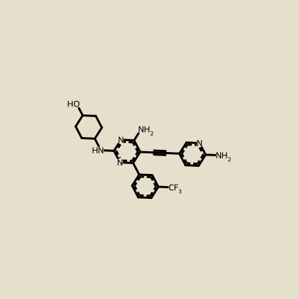 Nc1ccc(C#Cc2c(N)nc(NC3CCC(O)CC3)nc2-c2cccc(C(F)(F)F)c2)cn1